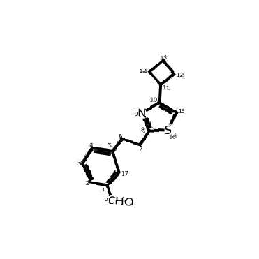 O=Cc1cccc(CCc2nc(C3CCC3)cs2)c1